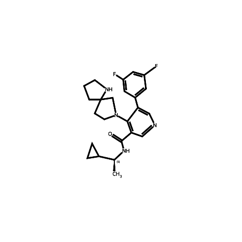 C[C@H](NC(=O)c1cncc(-c2cc(F)cc(F)c2)c1N1CCC2(CCCN2)C1)C1CC1